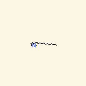 CCCCCCCCCCC=CC1=CC=C[N]1